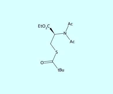 CCOC(=O)[C@H](CSC(=O)C(C)(C)C)N(C(C)=O)C(C)=O